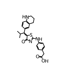 CC(C)C(=C1SC(Nc2ccc(CC(=O)O)cc2)=NC1=O)c1ccc2c(c1)CCCN2